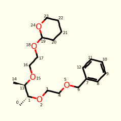 C[C@@H](OCCOCc1ccccc1)[C@@H](C)OCCOC1CCCCO1